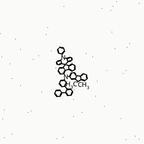 CC1(C)c2ccccc2-c2ccc(N(c3cccc(-c4ccccc4-c4ccccc4)c3)c3cccc4c3-c3ccccc3C43c4ccccc4N(c4ccccc4)c4ccccc43)cc21